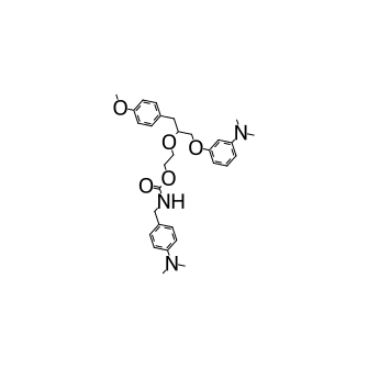 COc1ccc(CC(COc2cccc(N(C)C)c2)OCCOC(=O)NCc2ccc(N(C)C)cc2)cc1